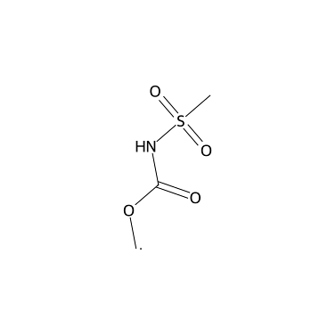 [CH2]OC(=O)NS(C)(=O)=O